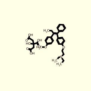 CC/C(=C(\c1ccccc1)c1ccc(OCCN(CC)CC)cc1)c1ccc(OC)cc1.O=C(O)CC(O)(CC(=O)O)C(=O)O